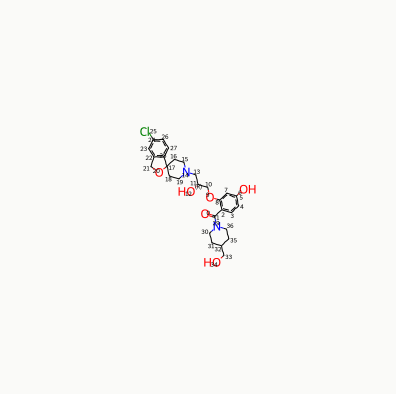 O=C(c1ccc(O)cc1OC[C@H](O)CN1CCC2(CC1)OCc1cc(Cl)ccc12)N1CCC(CO)CC1